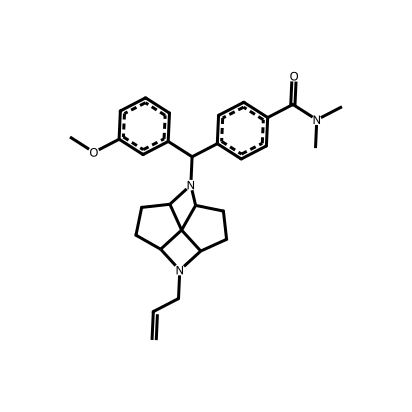 C=CCN1C2CCC3N(C(c4ccc(C(=O)N(C)C)cc4)c4cccc(OC)c4)C4CCC1C234